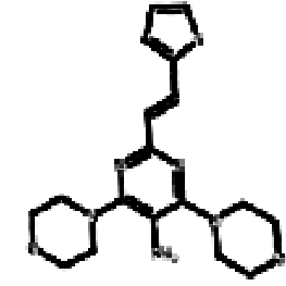 Nc1c(N2CCOCC2)nc(/C=C/c2cccs2)nc1N1CCOCC1